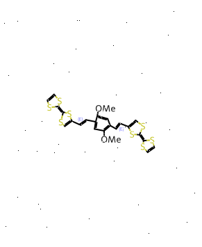 COc1cc(/C=C/C2=CSC(=C3SC=CS3)S2)c(OC)cc1/C=C/C1=CSC(=C2SC=CS2)S1